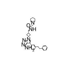 Nc1ncnc2c1c(-c1cccc(CCc3ccccc3)c1)cn2[C@H]1C[C@H](CNC(=O)CN2CCCCC2)C1